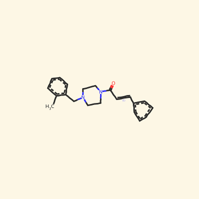 Cc1ccccc1CN1CCN(C(=O)/C=C/c2ccccc2)CC1